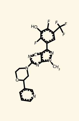 Cn1nc(-c2cc(C(F)(F)F)c(F)c(O)c2F)c2cnc(N3CCOC(c4cccnc4)C3)nc21